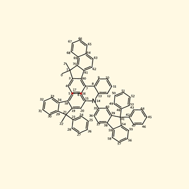 CC1(C)c2cccc(-c3ccccc3N(c3ccc4c(c3)C(C)(c3ccccc3)c3ccccc3-4)c3ccc4c(c3)C(c3ccccc3)(c3ccccc3)c3ccccc3-4)c2-c2ccc3ccccc3c21